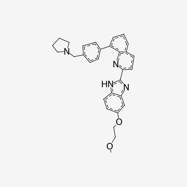 COCCOc1ccc2[nH]c(-c3ccc4cccc(-c5ccc(CN6CCCC6)cc5)c4n3)nc2c1